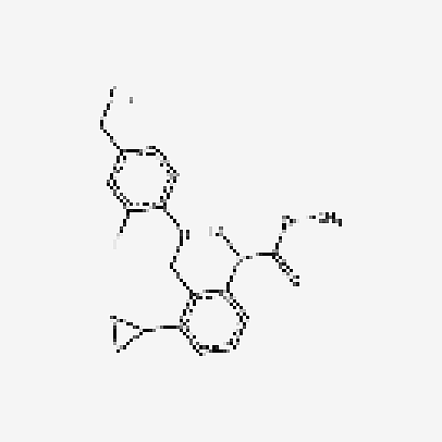 CCc1ccc(OCc2c(C3CC3)cccc2N(O)C(=O)OC)c(F)c1